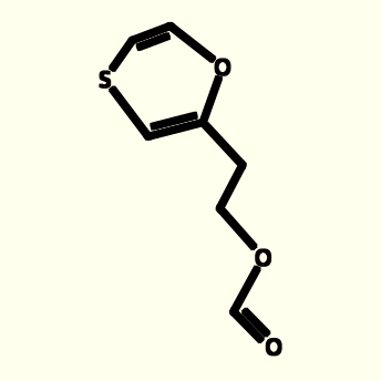 O=COCCC1=CSC=CO1